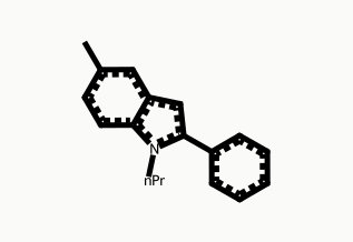 CCCn1c(-c2ccccc2)cc2cc(C)ccc21